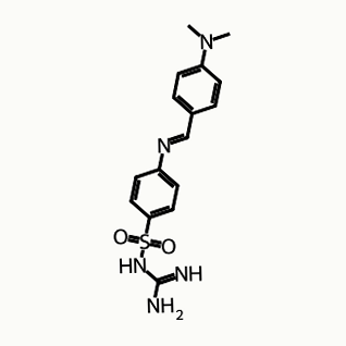 CN(C)c1ccc(C=Nc2ccc(S(=O)(=O)NC(=N)N)cc2)cc1